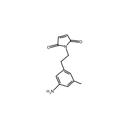 Cc1cc(N)cc(CCN2C(=O)C=CC2=O)c1